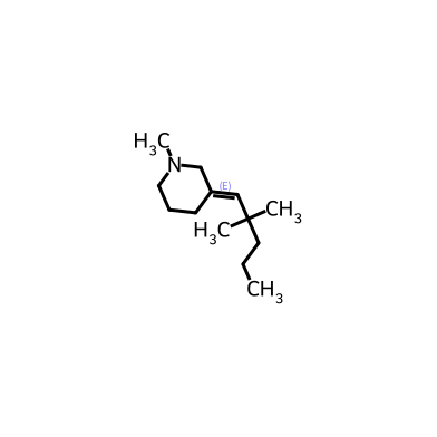 CCCC(C)(C)/C=C1\CCCN(C)C1